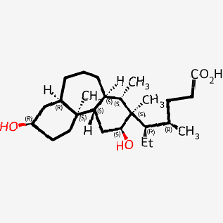 CC[C@H]([C@H](C)CCC(=O)O)[C@@]1(C)[C@@H](O)C[C@H]2[C@@H](CCC[C@@H]3C[C@H](O)CC[C@@]32C)[C@@H]1C